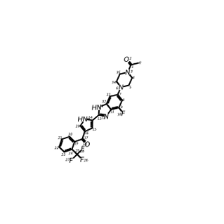 CC(=O)N1CCN(c2cc(F)c3nc(-c4cc(C(=O)c5ccccc5C(F)(F)F)c[nH]4)[nH]c3c2)CC1